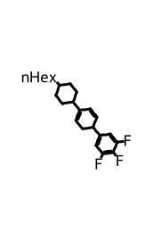 CCCCCCC1CCC(C2=CCC(c3cc(F)c(F)c(F)c3)C=C2)CC1